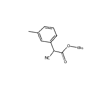 Cc1cccc(C(C#N)C(=O)OC(C)(C)C)c1